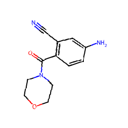 N#Cc1cc(N)ccc1C(=O)N1CCOCC1